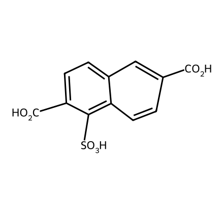 O=C(O)c1ccc2c(S(=O)(=O)O)c(C(=O)O)ccc2c1